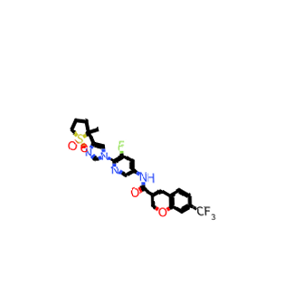 CC1(c2cn(-c3ncc(NC(=O)C4COc5cc(C(F)(F)F)ccc5C4)cc3F)cn2)CCCS1(=O)=O